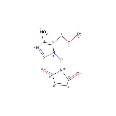 CCOCc1c([N+](=O)[O-])ncn1CN1C(=O)C=CC1=O